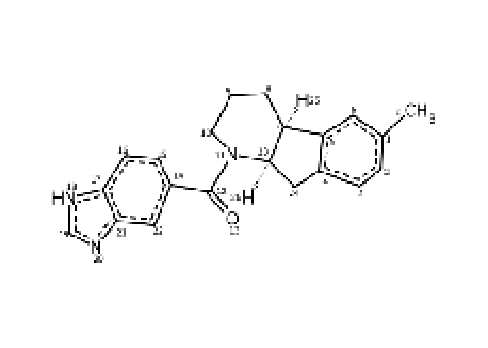 Cc1ccc2c(c1)[C@@H]1CCCN(C(=O)c3ccc4[nH]cnc4c3)[C@@H]1C2